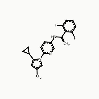 C=C(Nc1ccc(-n2nc(C(F)(F)F)cc2C2CC2)nc1)c1c(F)cccc1F